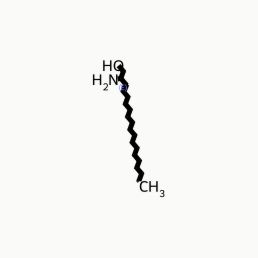 CCCCCCCCCCCCCCC/C=C/C(N)CO